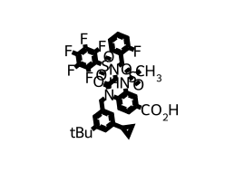 CC(C)(C)c1cc(CN(C(=O)CN(Cc2ccccc2F)S(=O)(=O)c2c(F)c(F)c(F)c(F)c2F)c2ccc(C(=O)O)cc2NS(C)(=O)=O)cc(C2CC2)c1